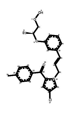 CC[C@@H](COO)Oc1cccc(/C=C/Cn2cc(Cl)cc2C(=O)c2ccc(C)cc2)c1